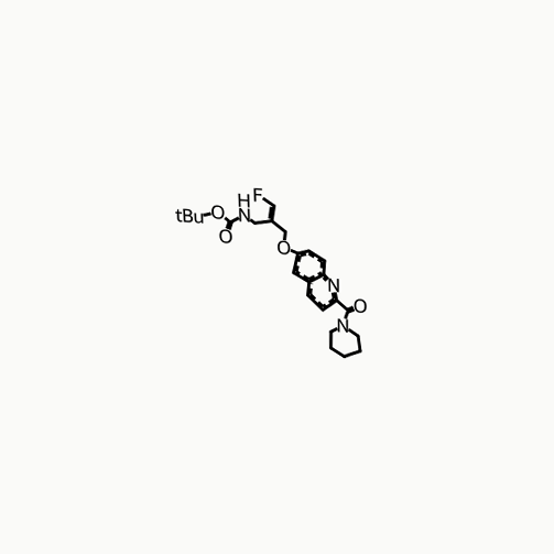 CC(C)(C)OC(=O)NC/C(=C\F)COc1ccc2nc(C(=O)N3CCCCC3)ccc2c1